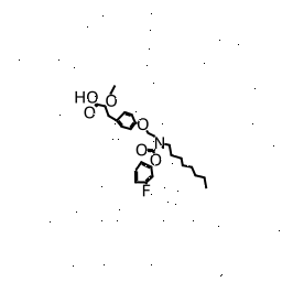 CCCCCCCCN(CCOc1ccc(CC(OCC)C(=O)O)cc1)C(=O)Oc1cccc(F)c1